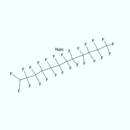 F[C](F)C(F)(F)C(F)(F)C(F)(F)C(F)(F)C(F)(F)C(F)(F)C(F)(F)C(F)(F)C(F)(F)C(F)(F)C(F)(F)F.[NaH]